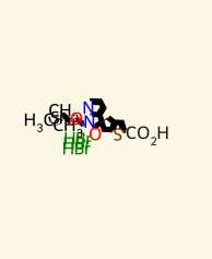 Br.Br.Br.C[Si](C)(C)CCOCN1C(=O)[C@@]2(Cc3cc(C(=O)O)sc3C2)c2cccnc21